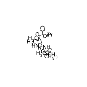 CC(C)OC(C(=O)N1Cc2c(NC(=O)C3([Si](C)(C)C)CCC3)n[nH]c2C1(C)C)c1ccccc1